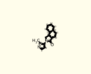 Cn1nccc1N1Cc2c(ccc3ccccc23)C1=O